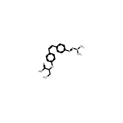 CCC(Oc1ccc(/C=C\c2ccc(/N=N/N(C)C)cc2)cc1)C(=O)O